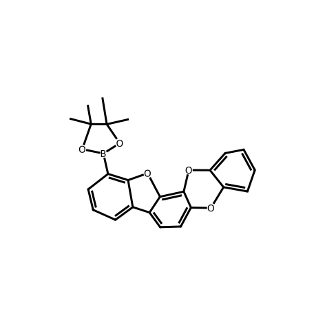 CC1(C)OB(c2cccc3c2oc2c4c(ccc23)Oc2ccccc2O4)OC1(C)C